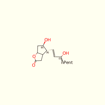 CCCCC[C@H](O)C=C[C@@H]1C2CC(=O)OC2C[C@H]1O